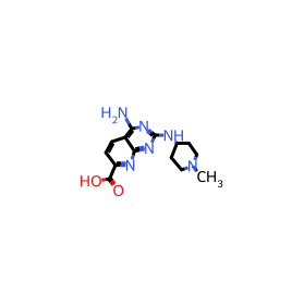 CN1CCC(Nc2nc(N)c3ccc(C(=O)O)nc3n2)CC1